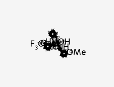 COc1cccc(CNC[C@@H](O)[C@H](Cc2ccccc2)NC(=O)c2cccc(OC(F)(F)F)c2)c1